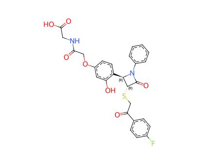 O=C(O)CNC(=O)COc1ccc([C@@H]2[C@@H](SCC(=O)c3ccc(F)cc3)C(=O)N2c2ccccc2)c(O)c1